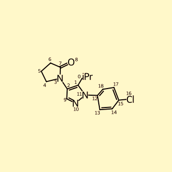 CC(C)c1c(N2CCCC2=O)cnn1-c1ccc(Cl)cc1